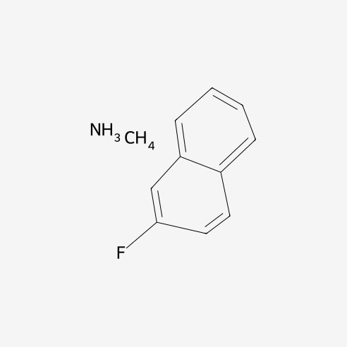 C.Fc1ccc2ccccc2c1.N